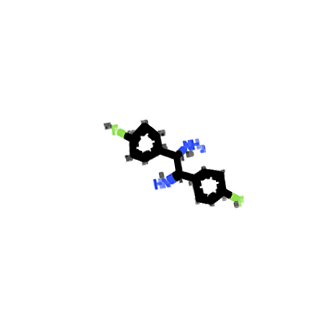 N=C(c1ccc(F)cc1)C(N)c1ccc(F)cc1